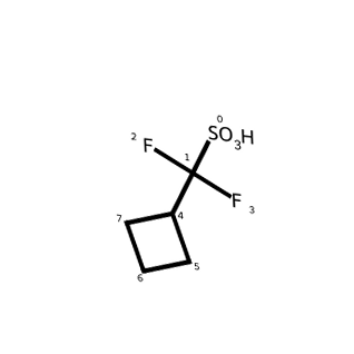 O=S(=O)(O)C(F)(F)C1CCC1